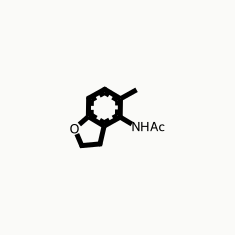 CC(=O)Nc1c(C)ccc2c1CCO2